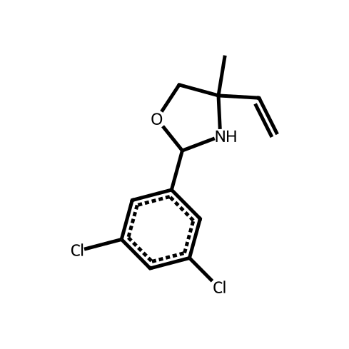 C=CC1(C)COC(c2cc(Cl)cc(Cl)c2)N1